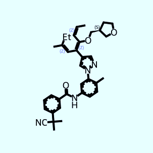 C\C=C/C(OC[C@H]1CCOC1)=C(\C=C(\C)CC)c1cnn(-c2cc(NC(=O)c3cccc(C(C)(C)C#N)c3)ccc2C)c1